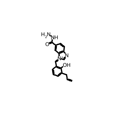 C=CCc1cccc(C=[N+]2C=Nc3ccc(C(=O)NN)cc32)c1O